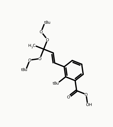 CC(C)(C)OOC(C)(C=Cc1cccc(C(=O)OO)c1C(C)(C)C)OOC(C)(C)C